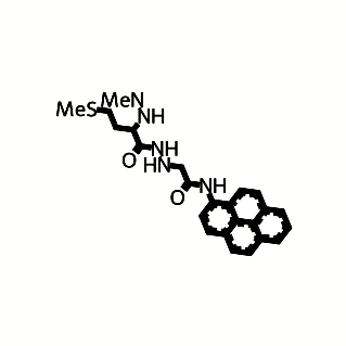 CNNC(CCSC)C(=O)NNCC(=O)Nc1ccc2ccc3cccc4ccc1c2c34